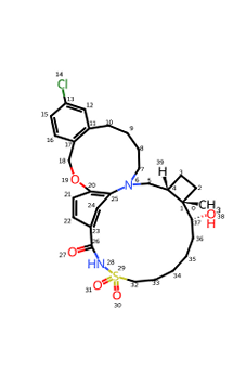 C[C@]12CC[C@H]1CN1CCCCc3cc(Cl)ccc3COc3ccc(cc31)C(=O)NS(=O)(=O)CCCCC[C@H]2O